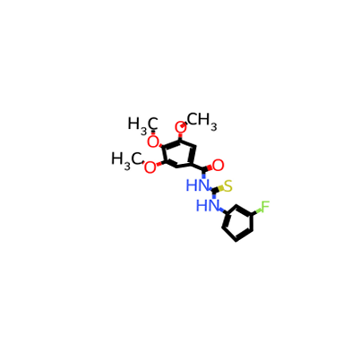 COc1cc(C(=O)NC(=S)Nc2cccc(F)c2)cc(OC)c1OC